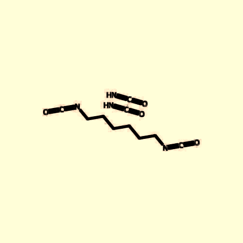 N=C=O.N=C=O.O=C=NCCCCCCN=C=O